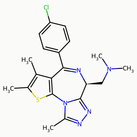 Cc1sc2c(c1C)C(c1ccc(Cl)cc1)=N[C@@H](CN(C)C)c1nnc(C)n1-2